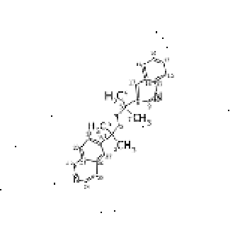 CC(C)(CCC(C)(C)c1cnc2ccccc2c1)c1ccc2cnccc2c1